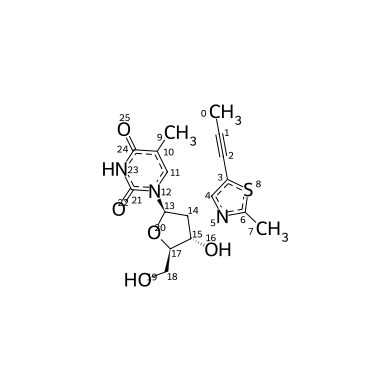 CC#Cc1cnc(C)s1.Cc1cn([C@H]2C[C@H](O)[C@@H](CO)O2)c(=O)[nH]c1=O